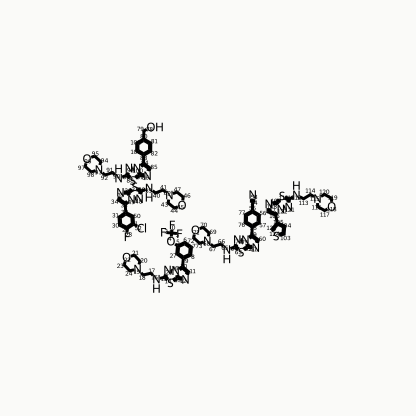 FC(F)(F)Oc1cccc(-c2cnc3sc(NCCN4CCOCC4)nn23)c1.Fc1ccc(-c2cnc3sc(NCCN4CCOCC4)nn23)cc1Cl.N#Cc1ccc(-c2cnc3sc(NCCN4CCOCC4)nn23)cc1.OCc1ccc(-c2cnc3sc(NCCN4CCOCC4)nn23)cc1.c1cc(-c2cnc3sc(NCCN4CCOCC4)nn23)cs1